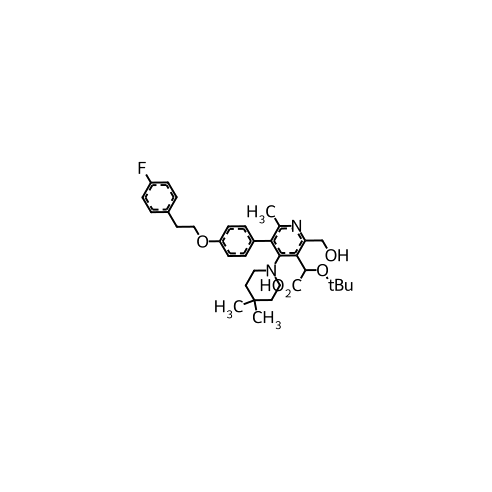 Cc1nc(CO)c(C(OC(C)(C)C)C(=O)O)c(N2CCC(C)(C)CC2)c1-c1ccc(OCCc2ccc(F)cc2)cc1